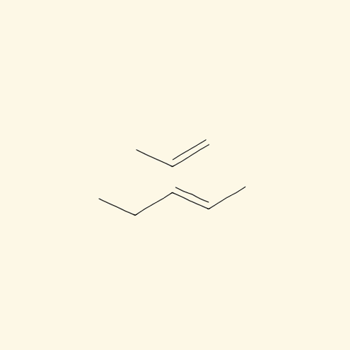 C=CC.CC=CCC